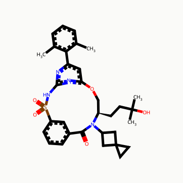 Cc1cccc(C)c1-c1cc2nc(n1)NS(=O)(=O)c1cccc(c1)C(=O)N(C1CC3(CC3)C1)[C@H](CCC(C)(C)O)CO2